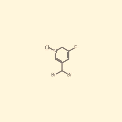 FC1=CC(C(Br)Br)=CN(Cl)C1